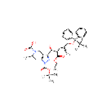 C=C(CO[Si](c1ccccc1)(c1ccccc1)C(C)(C)C)CC(C(=O)OCC)C(=O)c1nn(C(=O)OC(C)(C)C)c2c1CN(C(=O)O)C(C)C2